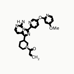 C=CC(=O)N1CCCC(c2nc(-c3ccc(Oc4cc(OC)ccn4)cn3)n3c(N)nccc23)C1